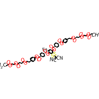 C=CC(=O)OCCOC(=O)CCC(=O)OCCc1ccc(OC(=O)[C@H]2CC[C@H](C(=O)Oc3cc(CC)c(OC(=O)[C@H]4CC[C@H](C(=O)Oc5ccc(CCOC(=O)CCC(=O)OCCOC(=O)C=C)cc5)CC4)c4c3SC(=C(C#N)C#N)S4)CC2)cc1